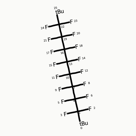 CC(C)(C)C(F)(F)C(F)(F)C(F)(F)C(F)(F)C(F)(F)C(F)(F)C(F)(F)C(F)(F)C(C)(C)C